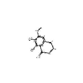 COc1cc2c(c(Cl)c1Cl)C(=O)CCC2